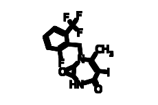 CC1=C(I)C(=O)NC2OC2N1Cc1c(F)cccc1C(F)(F)F